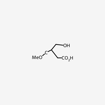 COCC(CO)CC(=O)O